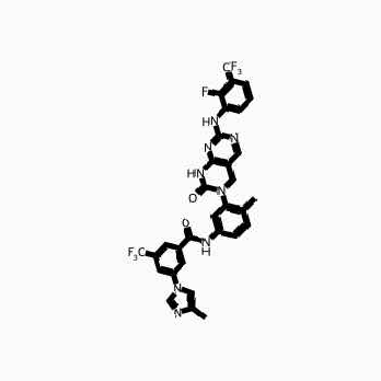 Cc1cn(-c2cc(C(=O)Nc3ccc(C)c(N4Cc5cnc(Nc6cccc(C(F)(F)F)c6F)nc5NC4=O)c3)cc(C(F)(F)F)c2)cn1